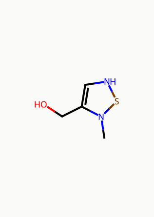 CN1SNC=C1CO